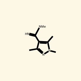 CNC(=N)c1c(C)nn(C)c1C